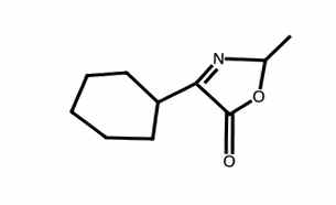 CC1N=C(C2CCCCC2)C(=O)O1